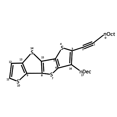 CCCCCCCCC#Cc1sc2c(sc3c4sccc4sc23)c1CCCCCCCCCC